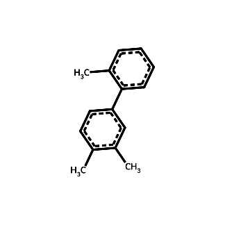 Cc1ccc(-c2ccccc2C)cc1C